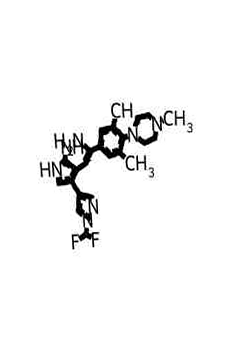 Cc1cc(/C(N)=C/c2c(-c3cnn(C(F)F)c3)c[nH]c2N)cc(C)c1N1CCN(C)CC1